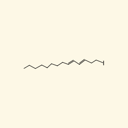 CCCCCCCCC=CC=CCCI